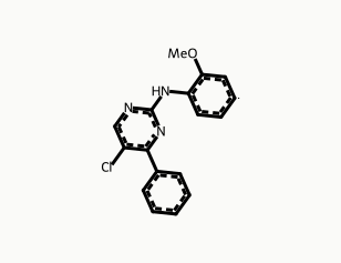 COc1c[c]ccc1Nc1ncc(Cl)c(-c2ccccc2)n1